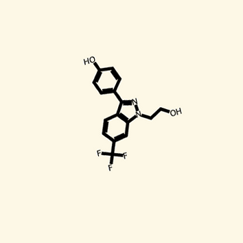 OCCn1nc(-c2ccc(O)cc2)c2ccc(C(F)(F)F)cc21